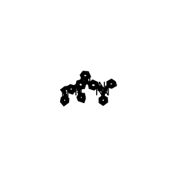 c1ccc(-c2nc(-c3ccccc3)nc(-c3ccc(-n4c5ccccc5c5cc6c7cc8ccn(-c9ccccc9)c8cc7n(-c7ccccc7)c6cc54)cc3)n2)cc1